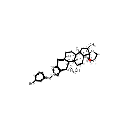 C[C@@H]1C[C@H]2[C@@H]3CCC4=Cc5nn(Cc6cccc(Br)c6)cc5C[C@]4(C)[C@@]3(F)[C@@H](O)C[C@]2(C)[C@]12OCOC21COCO1